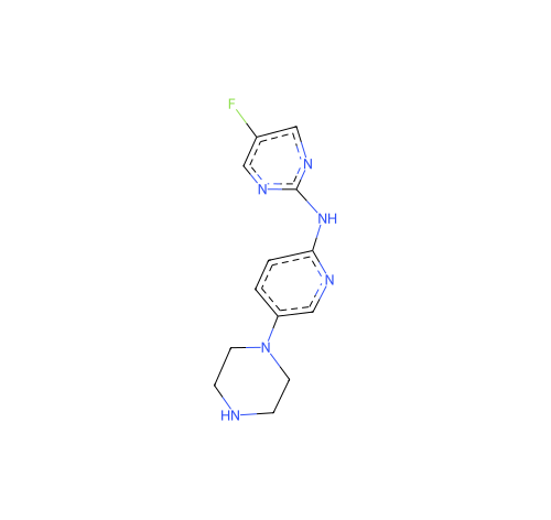 Fc1cnc(Nc2ccc(N3CCNCC3)cn2)nc1